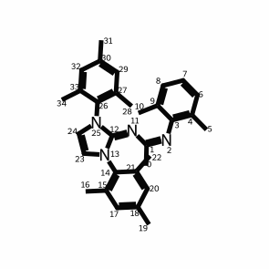 CC(=Nc1c(C)cccc1C)N=c1n(-c2c(C)cc(C)cc2C)ccn1-c1c(C)cc(C)cc1C